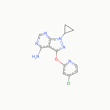 Nc1ncnc2c1c(Oc1cc(Cl)ccn1)nn2C1CC1